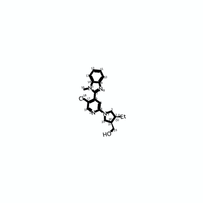 CC[C@@H]1CN(c2cc(-c3nc4ccccc4n3C)c(Cl)cn2)C[C@@H]1CO